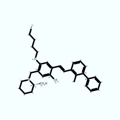 Cc1c(/C=C/c2cc(OCCCCF)c(CN3CCCC[C@H]3C(=O)O)cc2C(F)(F)F)cccc1-c1ccccc1